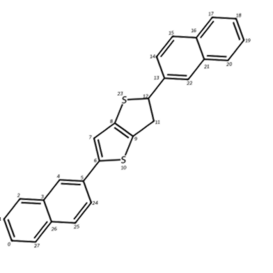 c1ccc2cc(-c3cc4c(s3)CC(c3ccc5ccccc5c3)S4)ccc2c1